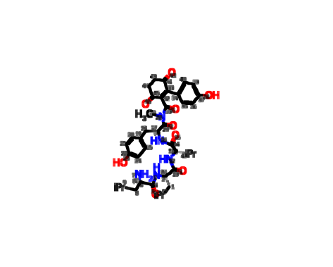 CC(C)C[C@H](NC(=O)[C@@H](N)CC(C)C)C(=O)N[C@H](C(=O)N[C@@H](Cc1ccc(O)cc1)C(=O)N(C)C(=O)C1=C(c2ccc(O)cc2)C(=O)CCC1=O)C(C)C